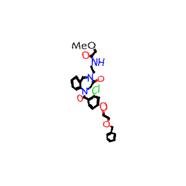 COCC(=O)NCCN1Cc2ccccc2N(C(=O)c2ccc(OCCOCc3ccccc3)cc2Cl)CC1=O